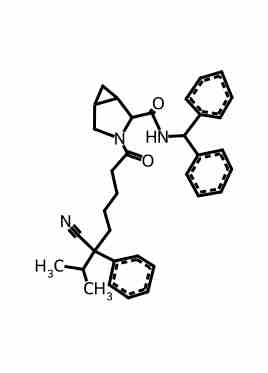 CC(C)C(C#N)(CCCCC(=O)N1CC2CC2C1C(=O)NC(c1ccccc1)c1ccccc1)c1ccccc1